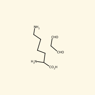 NCCCCC(N)C(=O)O.O=CCC=O